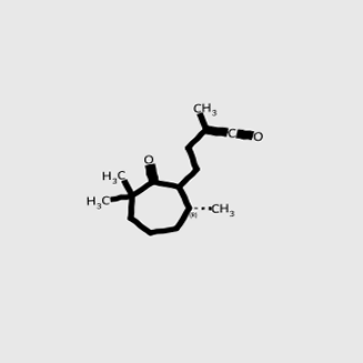 CC(=C=O)CCC1C(=O)C(C)(C)CCC[C@H]1C